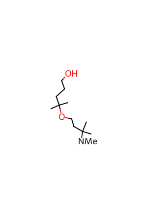 CNC(C)(C)CCOC(C)(C)CCCO